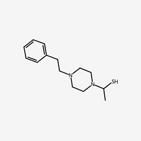 CC(S)N1CCN(CCc2ccccc2)CC1